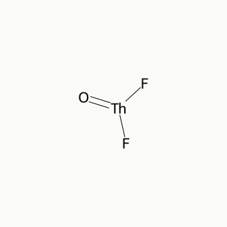 [O]=[Th]([F])[F]